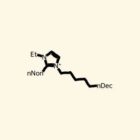 CCCCCCCCCCCCCCC[n+]1ccn(CC)c1CCCCCCCCC